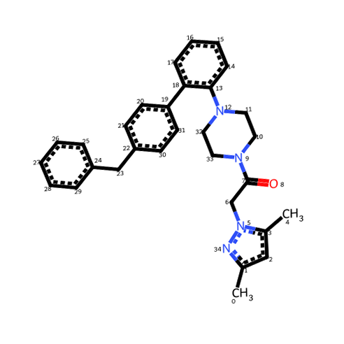 Cc1cc(C)n(CC(=O)N2CCN(c3ccccc3-c3ccc(Cc4ccccc4)cc3)CC2)n1